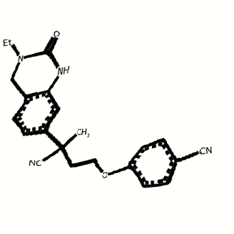 CCN1Cc2ccc(C(C)(C#N)CCOc3ccc(C#N)cc3)cc2NC1=O